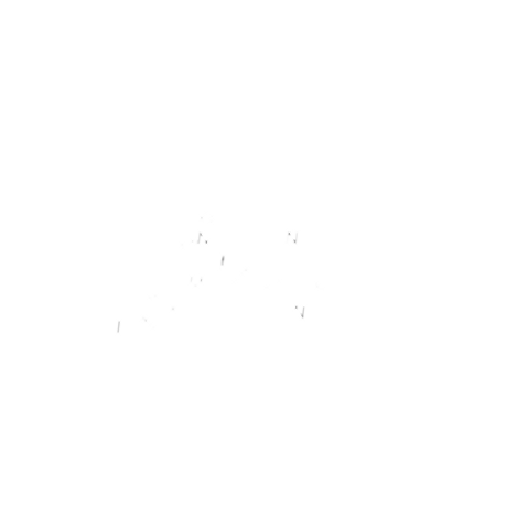 Cc1cc(-c2ccc([N+](=O)[O-])c(OCc3ccc(F)cc3)c2)c(C#N)c(Cl)n1